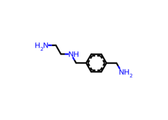 NCCNCc1ccc(CN)cc1